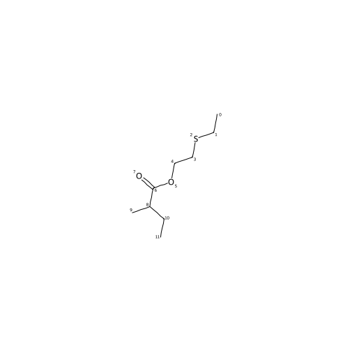 CCSCCOC(=O)C(C)CC